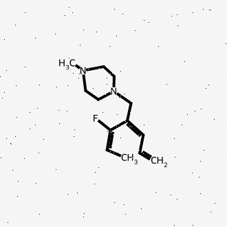 C=C/C=C(CN1CCN(C)CC1)\C(F)=C/C